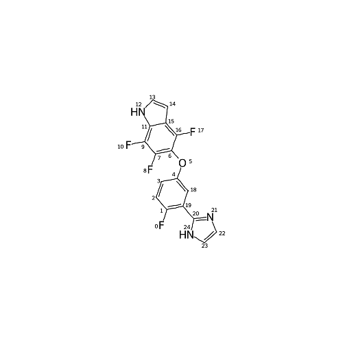 Fc1ccc(Oc2c(F)c(F)c3[nH]ccc3c2F)cc1-c1ncc[nH]1